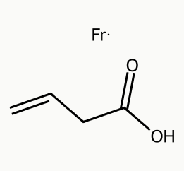 C=CCC(=O)O.[Fr]